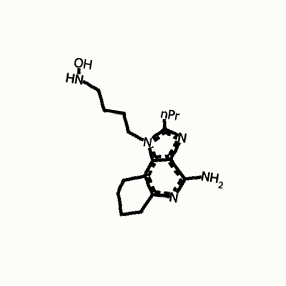 CCCc1nc2c(N)nc3c(c2n1CCCCNO)CCCC3